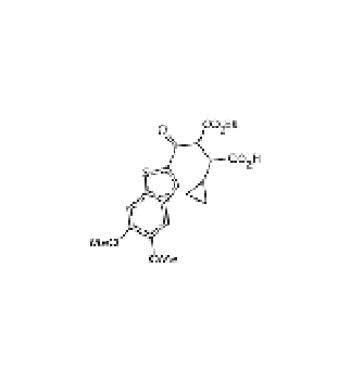 CCOC(=O)C(C(=O)c1cc2cc(OC)c(OC)cc2s1)C(C(=O)O)C1CC1